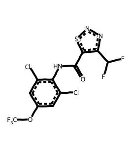 O=C(Nc1c(Cl)cc(OC(F)(F)F)cc1Cl)c1snnc1C(F)F